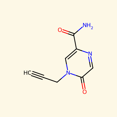 C#CCn1cc(C(N)=O)ncc1=O